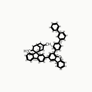 CC1CC2CC(C)C3(c4ccccc4-c4ccc(-c5cc(-c6ccc(-c7cccc(-c8ccccc8)c7)cc6)c6oc7ccccc7c6c5)cc43)C(C1)C2